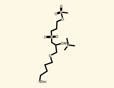 CCCCCCCCCCCCCCOCC(CS(=O)(=O)CCCOS(C)(=O)=O)OC.CN(C)C